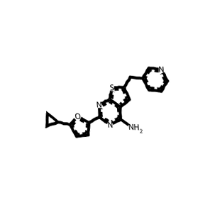 Nc1nc(-c2ccc(C3CC3)o2)nc2sc(Cc3cccnc3)cc12